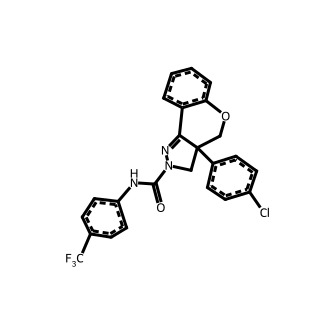 O=C(Nc1ccc(C(F)(F)F)cc1)N1CC2(c3ccc(Cl)cc3)COc3ccccc3C2=N1